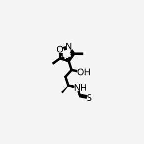 Cc1noc(C)c1C(O)C[C@H](C)NC=S